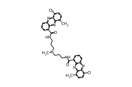 Cc1ccc(Cl)c2nc3cccc(C(=O)NCCCN(C)CCCNC(=O)c4cccc5nc6c(Cl)ccc(C)c6nc45)c3nc12